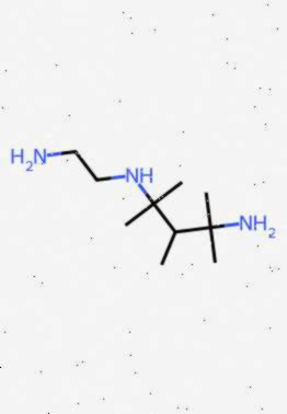 CC(C(C)(C)N)C(C)(C)NCCN